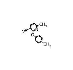 Cc1ccc(Oc2nc(C)ccc2C#N)cc1